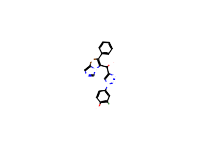 Oc1ccc(-n2cc(C(O)c3c(-c4ccccc4)sc4cncn34)nn2)cc1Cl